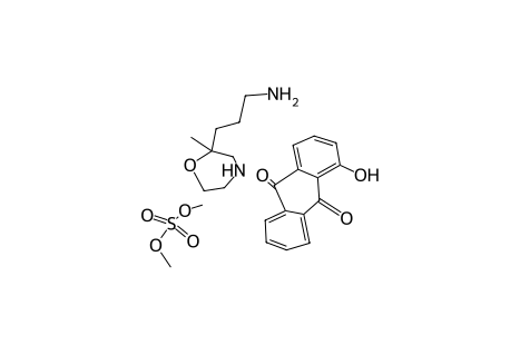 CC1(CCCN)CNCCO1.COS(=O)(=O)OC.O=C1c2ccccc2C(=O)c2c(O)cccc21